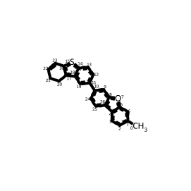 Cc1ccc2c(c1)oc1cc(-c3ccc4sc5c(c4c3)CCC=C5)ccc12